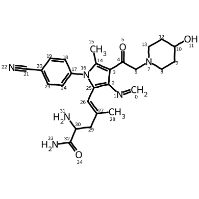 C=Nc1c(C(=O)CN2CCC(O)CC2)c(C)n(-c2ccc(C#N)cc2)c1/C=C(\C)CC(N)C(N)=O